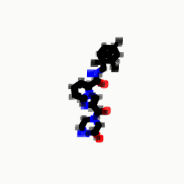 CC1(C)[C@H]2CC[C@@H](CNC(=O)c3cccc4nc(C(=O)N5CCNC(=O)C5)cn34)[C@H]1C2